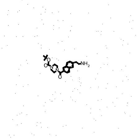 CC(C)(C)OC(=O)N1CCN(C(=O)c2ccc3cc(CCN)ccc3c2)CC1